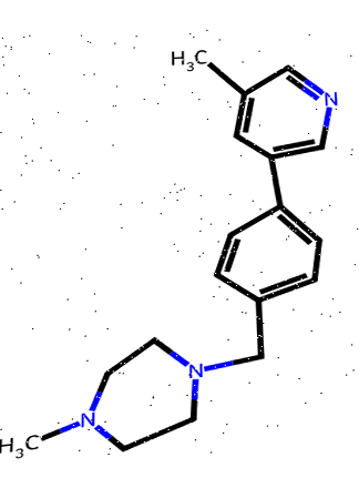 Cc1cncc(-c2ccc(CN3CCN(C)CC3)cc2)c1